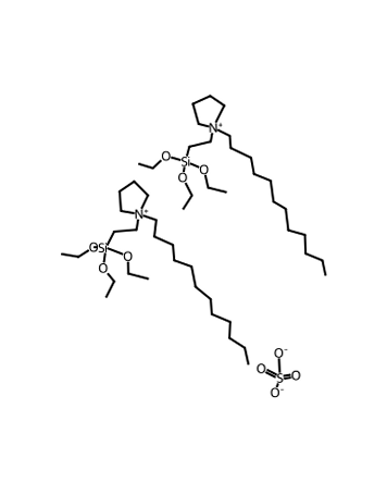 CCCCCCCCCCCC[N+]1(CC[Si](OCC)(OCC)OCC)CCCC1.CCCCCCCCCCCC[N+]1(CC[Si](OCC)(OCC)OCC)CCCC1.O=S(=O)([O-])[O-]